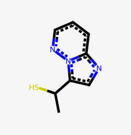 CC(S)c1cnc2cccnn12